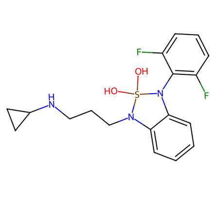 OS1(O)N(CCCNC2CC2)c2ccccc2N1c1c(F)cccc1F